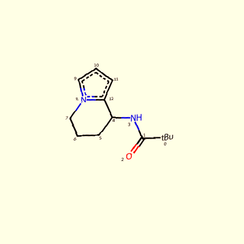 CC(C)(C)C(=O)NC1CCCn2cccc21